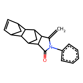 C=C1C2C3CC(C2C(=O)N1c1ccccc1)C1C2C=CC(C2)C31